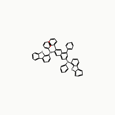 c1ccc(-c2cc3c(-c4ccccc4)cc(N(c4ccccc4)c4cccc5c4sc4ccccc45)cc3cc2N(c2ccccc2)c2cccc3c2sc2ccccc23)cc1